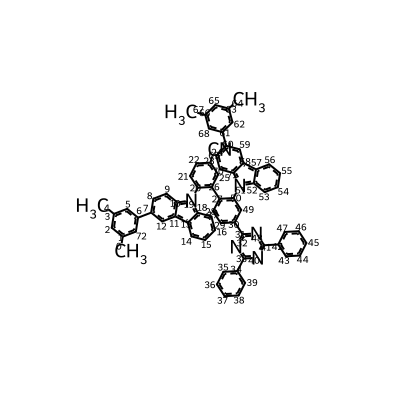 Cc1cc(C)cc(-c2ccc3c(c2)c2ccccc2n3-c2ccc(C#N)cc2-c2ccc(-c3nc(-c4ccccc4)nc(-c4ccccc4)n3)cc2-n2c3ccccc3c3cc(-c4cc(C)cc(C)c4)ccc32)c1